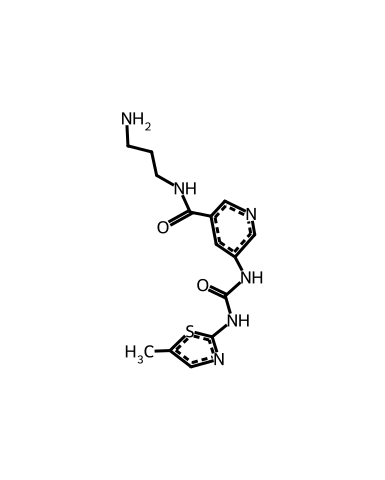 Cc1cnc(NC(=O)Nc2cncc(C(=O)NCCCN)c2)s1